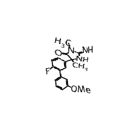 COc1cccc(-c2cc(C3(C)NC(=N)N(C)C3=O)ccc2F)c1